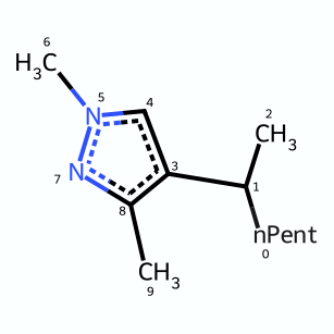 CCCCCC(C)c1cn(C)nc1C